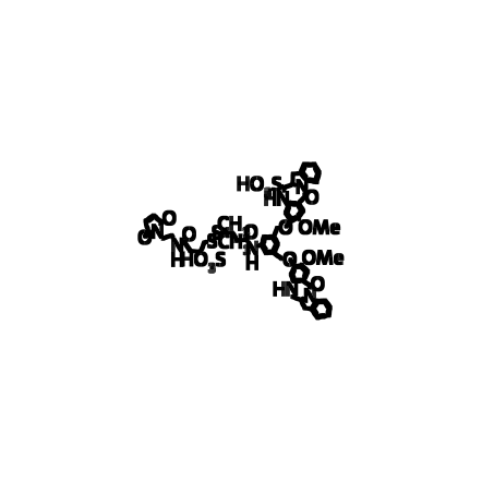 COc1cc2c(cc1OCc1cc(COc3cc4c(cc3OC)C(=O)N3c5ccccc5CC3C(S(=O)(=O)O)N4)cc(NC(=O)CCC(C)(C)SSCCC(C(=O)NCCN3C(=O)C=CC3=O)S(=O)(=O)O)c1)NCC1Cc3ccccc3N1C2=O